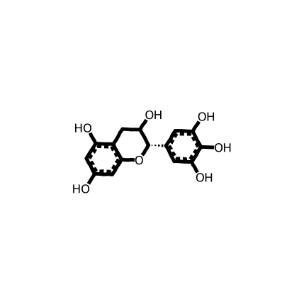 Oc1cc(O)c2c(c1)O[C@@H](c1cc(O)c(O)c(O)c1)C(O)C2